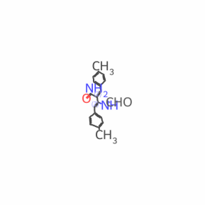 Cc1ccc(/C=C(NC=O)/C(=C/c2ccc(C)cc2)C(N)=O)cc1